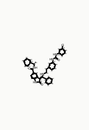 C[C@@H](NC(=O)c1ccc2c(c1)C(=C(NCCc1cccc(NC(=O)Nc3cccc(Cl)c3)c1)c1ccccc1)C(=O)N2)c1ccccc1